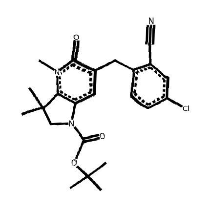 Cn1c2c(cc(Cc3ccc(Cl)cc3C#N)c1=O)N(C(=O)OC(C)(C)C)CC2(C)C